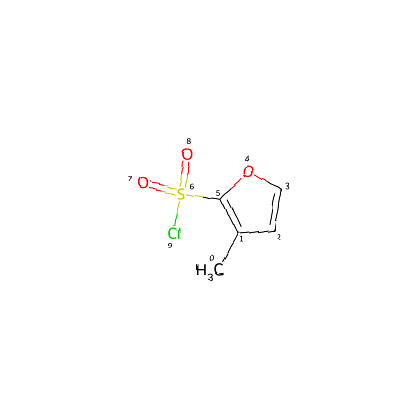 Cc1ccoc1S(=O)(=O)Cl